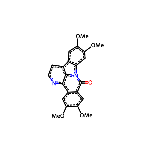 COc1cc2c(=O)n3c4cc(OC)c(OC)cc4c4ccnc(c2cc1OC)c43